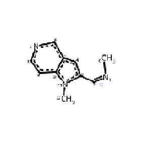 C/N=C\c1cc2cnccc2n1C